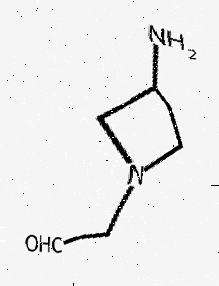 NC1CN(CC=O)C1